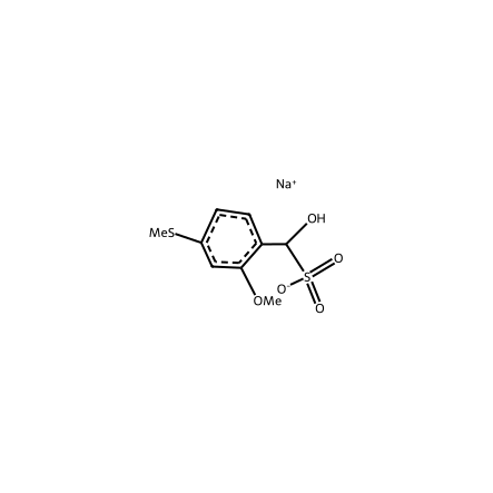 COc1cc(SC)ccc1C(O)S(=O)(=O)[O-].[Na+]